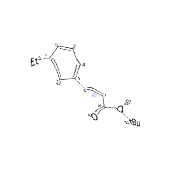 CCc1cccc(/C=C/C(=O)OC(C)(C)C)c1